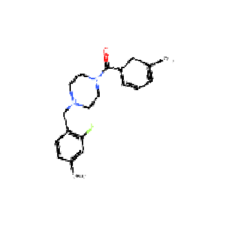 COc1ccc(CN2CCN(C(=O)C3C=CC=C(C)C3)CC2)c(F)c1